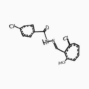 O=C(N/N=C/c1c(O)cccc1Cl)c1ccc(Cl)cc1